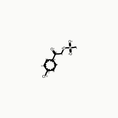 CS(=O)(=O)OCC(=O)c1ccc(Cl)cc1